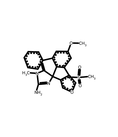 COc1cc(OS(C)(=O)=O)c(C2(c3ccoc3)N=C(N)N(C)C2=O)c(-c2ccccc2)c1